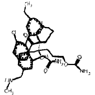 CCc1cccc(-c2c(Cl)cccc2C(O)(CCCOC(N)=O)[C@@]2(C(=O)c3ccc(CNC)cc3CC(N)=O)CCCNC2)c1